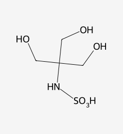 O=S(=O)(O)NC(CO)(CO)CO